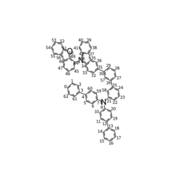 c1ccc(-c2ccc(N(c3ccc(-c4ccccc4)cc3)c3cccc(-c4cccc(-c5ccc6c(c5)c5ccccc5n6-c5cccc6c5oc5ccccc56)c4)c3)cc2)cc1